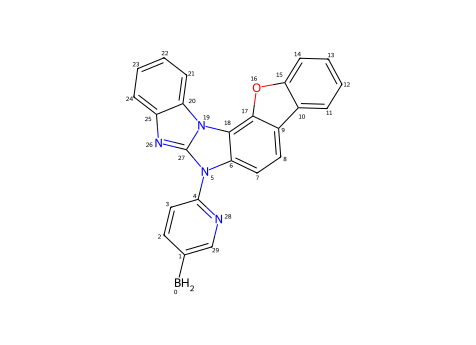 Bc1ccc(-n2c3ccc4c5ccccc5oc4c3n3c4ccccc4nc23)nc1